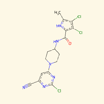 Cc1[nH]c(C(=O)NC2CCN(c3cc(C#N)nc(Cl)n3)CC2)c(Cl)c1Cl